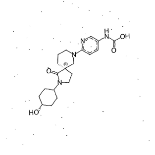 O=C(O)Nc1ccc(N2CCC[C@@]3(CCN(C4CCC(O)CC4)C3=O)C2)nc1